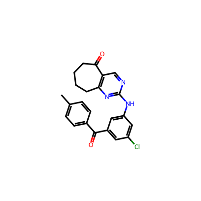 Cc1ccc(C(=O)c2cc(Cl)cc(Nc3ncc4c(n3)CCCCC4=O)c2)cc1